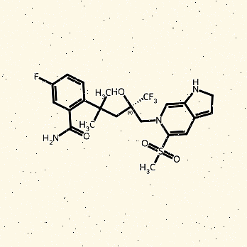 CC(C)(C[C@@](O)(CN1C=C2NCC=C2C=C1S(C)(=O)=O)C(F)(F)F)c1ccc(F)cc1C(N)=O